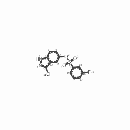 O=S(=O)(Oc1ccc2[nH]nc(Cl)c2c1)c1cccc(F)c1